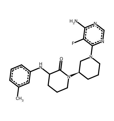 Cc1cccc(NC2CCCN([C@@H]3CCCN(c4ncnc(N)c4F)C3)C2=O)c1